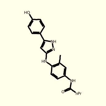 CCCC(=O)Nc1ccc(Nc2cc(-c3ccc(O)cc3)[nH]n2)c(C)c1